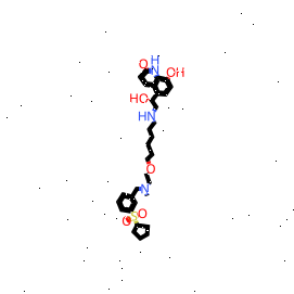 CN(CCOCCCCCCNC[C@H](O)c1ccc(O)c2[nH]c(=O)ccc12)Cc1cccc(S(=O)(=O)C2CCCC2)c1